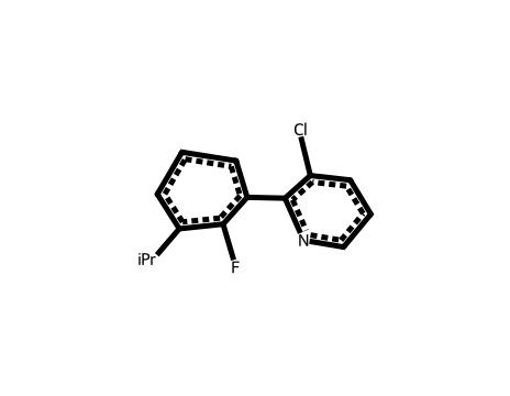 CC(C)c1cccc(-c2ncccc2Cl)c1F